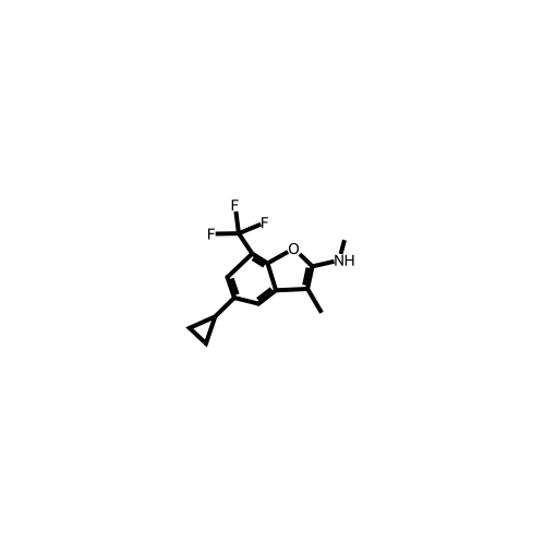 CNc1oc2c(C(F)(F)F)cc(C3CC3)cc2c1C